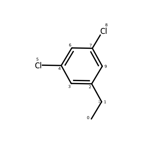 C[C]c1cc(Cl)cc(Cl)c1